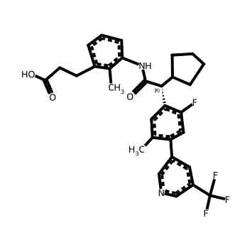 Cc1cc([C@H](C(=O)Nc2cccc(CCC(=O)O)c2C)C2CCCC2)c(F)cc1-c1cncc(C(F)(F)F)c1